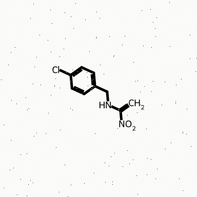 C=C(NCc1ccc(Cl)cc1)[N+](=O)[O-]